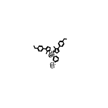 CCc1ccc(C2=CC[C]([Hf+2]([C]3=C(C)C(c4ccc(CC)cc4)=CC3)=[Ge]([CH3])[c]3ccccc3)=C2C)cc1.[Cl-].[Cl-]